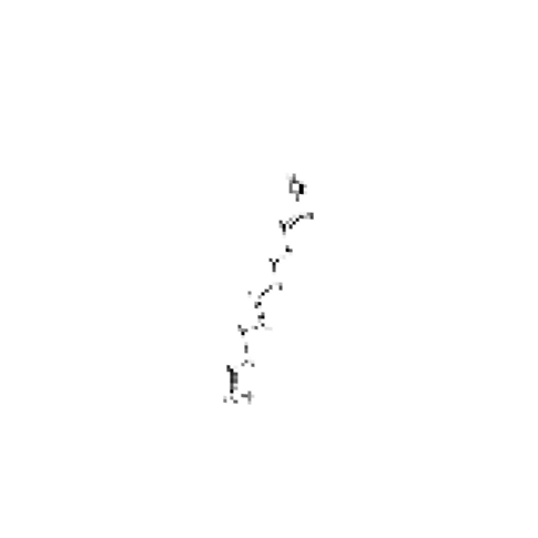 [CH]=CCCC=CCCCC=CCC